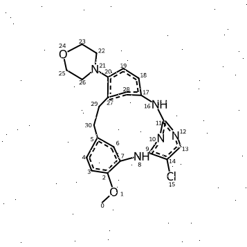 COc1ccc2cc1Nc1nc(ncc1Cl)Nc1ccc(N3CCOCC3)c(c1)CC2